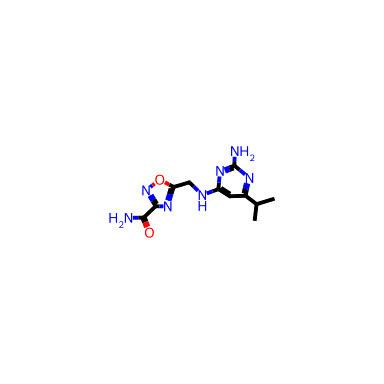 CC(C)c1cc(NCc2nc(C(N)=O)no2)nc(N)n1